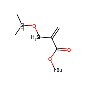 C=C([SiH2]O[SiH](C)C)C(=O)OCCCC